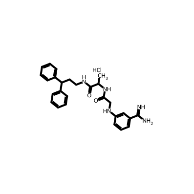 CC(NC(=O)CNc1cccc(C(=N)N)c1)C(=O)NCCC(c1ccccc1)c1ccccc1.Cl